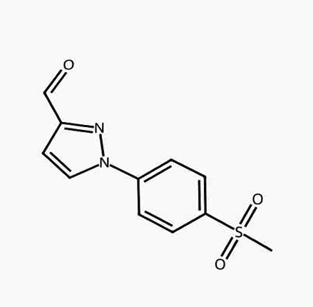 CS(=O)(=O)c1ccc(-n2ccc(C=O)n2)cc1